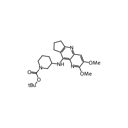 COc1cc2nc3c(c(NC4CCCN(C(=O)OC(C)(C)C)C4)c2nc1OC)CCC3